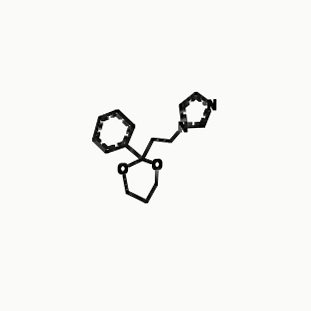 c1ccc(C2(CCn3ccnc3)OCCCO2)cc1